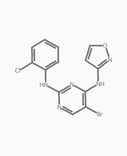 Clc1ccccc1Nc1ncc(Br)c(Nc2ccon2)n1